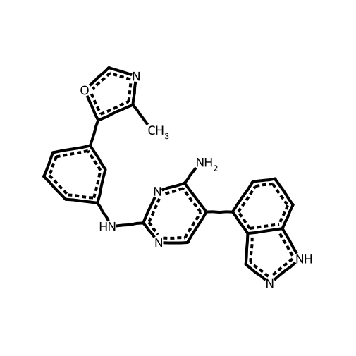 Cc1ncoc1-c1cccc(Nc2ncc(-c3cccc4[nH]ncc34)c(N)n2)c1